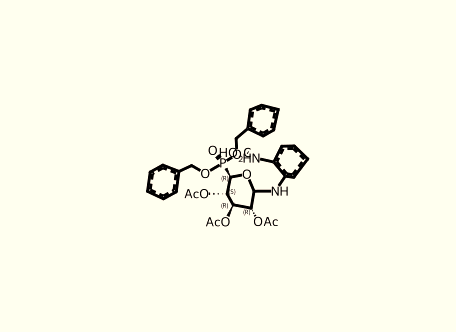 CC(=O)O[C@H]1[C@H](OC(C)=O)[C@@H](P(=O)(OCc2ccccc2)OCc2ccccc2)OC(Nc2ccccc2NC(=O)O)[C@@H]1OC(C)=O